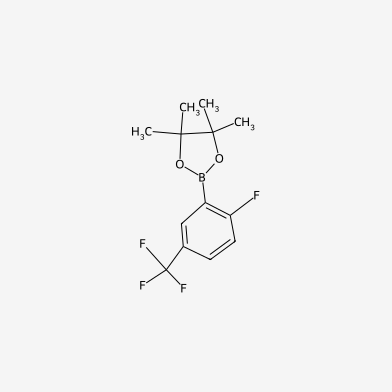 CC1(C)OB(c2cc(C(F)(F)F)ccc2F)OC1(C)C